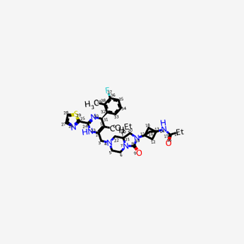 CCOC(=O)C1=C(CN2CCN3C(=O)N(C45CC(NC(=O)CC)(C4)C5)C[C@@H]3C2)NC(c2nccs2)=N[C@H]1c1cccc(F)c1C